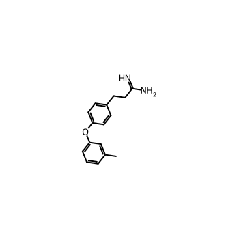 Cc1cccc(Oc2ccc(CCC(=N)N)cc2)c1